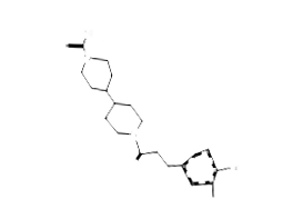 Cc1cc(C[CH]C(=O)N2CCC(C3CCN(C(N)=O)CC3)CC2)ccc1Br